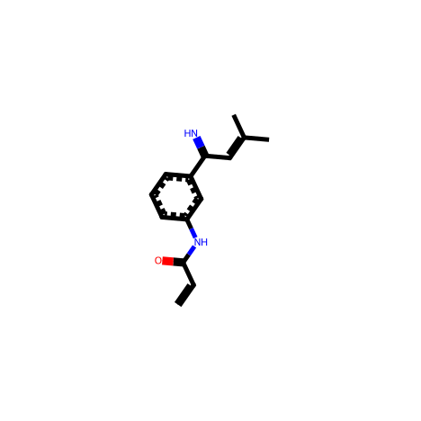 C=CC(=O)Nc1cccc(C(=N)C=C(C)C)c1